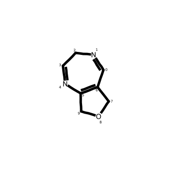 C1=NCC=NC2=C1COC2